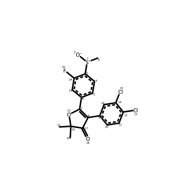 C[S+]([O-])c1ccc(C2=C(c3ccc(Cl)c(Cl)c3)C(=O)C(C)(C)O2)cc1F